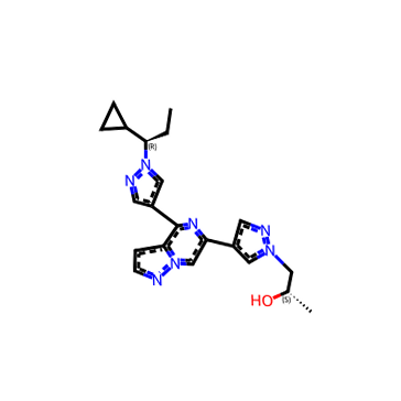 CC[C@H](C1CC1)n1cc(-c2nc(-c3cnn(C[C@H](C)O)c3)cn3nccc23)cn1